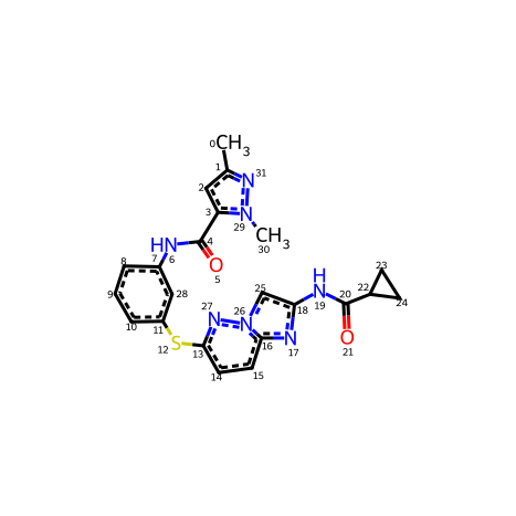 Cc1cc(C(=O)Nc2cccc(Sc3ccc4nc(NC(=O)C5CC5)cn4n3)c2)n(C)n1